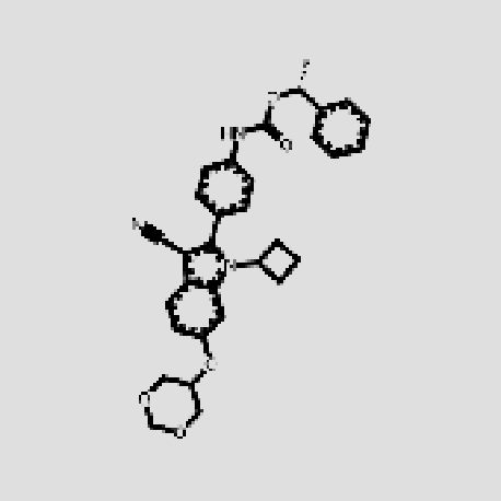 C[C@@H](OC(=O)Nc1ccc(-c2c(C#N)c3ccc(OC4COCOC4)cc3n2C2CCC2)cc1)c1ccccc1